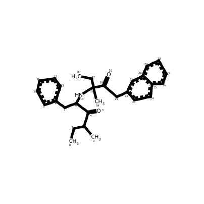 CCC(C)C(=O)C(Cc1ccccc1)NC(C)(CC)C(=O)Cc1ccc2ccccc2c1